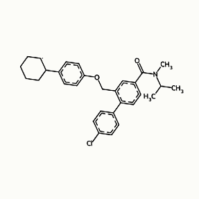 CC(C)N(C)C(=O)c1ccc(-c2ccc(Cl)cc2)c(COc2ccc(C3[CH]CCCC3)cc2)c1